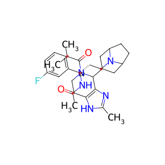 CC(=O)N[C@@H](CCN1C2CCC1CC(C1c3nc(C)[nH]c3CCN1C(=O)C(C)C)C2)c1cccc(F)c1